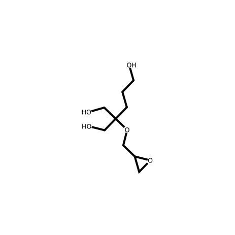 OCCCC(CO)(CO)OCC1CO1